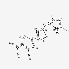 Cc1nnc(Cn2ccc(-c3ccc(C(F)F)c(F)c3)n2)[nH]1